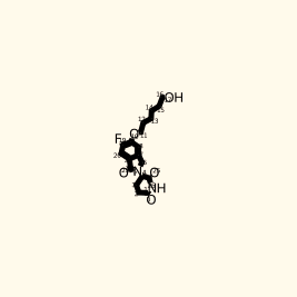 O=C1CCC(N2Cc3cc(OCCCCCCO)c(F)cc3C2=O)C(=O)N1